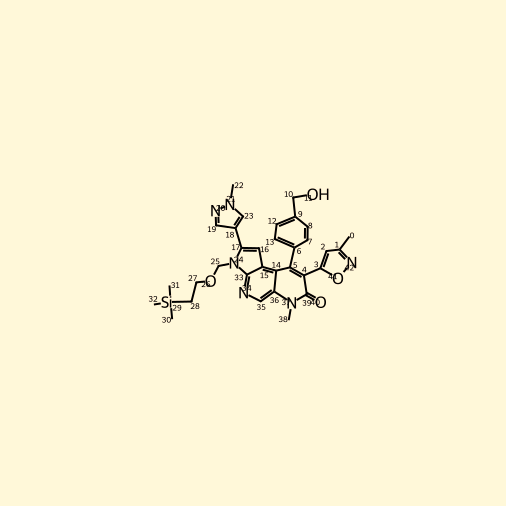 Cc1cc(-c2c(-c3ccc(CO)cc3)c3c4cc(-c5cnn(C)c5)n(COCC[Si](C)(C)C)c4ncc3n(C)c2=O)on1